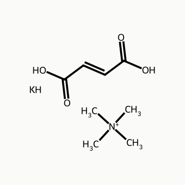 C[N+](C)(C)C.O=C(O)/C=C/C(=O)O.[KH]